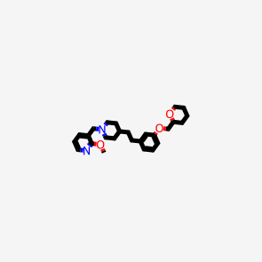 COc1ncccc1CN1CCC(CCc2cccc(OCC3CCCCO3)c2)CC1